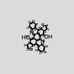 Oc1c2ccsc2c2c3ccccc3nc3c4c(O)c5ccsc5c5c6ccccc6nc(c1c32)c45